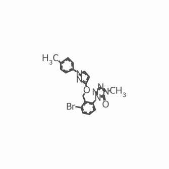 Cc1ccc(-n2ccc(OCc3c(Br)cccc3-n3nnn(C)c3=O)n2)cc1